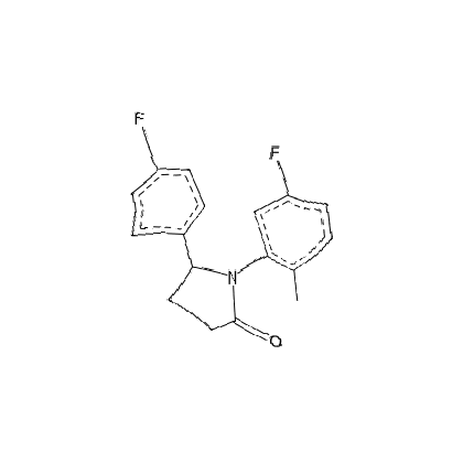 Cc1ccc(F)cc1N1C(=O)CCC1c1ccc(F)cc1